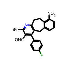 CC(C)c1nc2c(c(-c3ccc(F)cc3)c1C=O)Cc1cccc([N+](=O)[O-])c1CC2